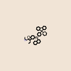 C=Cc1c(/C=C\C)oc2ccc(N(c3ccc(C4(C5C=CC=CC5)c5ccccc5-c5ccccc54)cc3)c3cccc4ccccc34)cc12